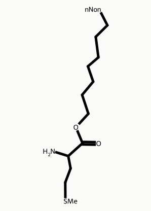 CCCCCCCCCCCCCCCCOC(=O)C(N)CCSC